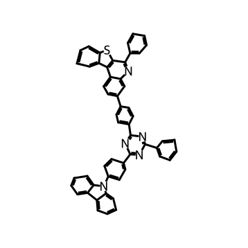 c1ccc(-c2nc(-c3ccc(-c4ccc5c(c4)nc(-c4ccccc4)c4sc6ccccc6c45)cc3)nc(-c3ccc(-n4c5ccccc5c5ccccc54)cc3)n2)cc1